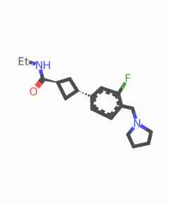 CCNC(=O)[C@H]1C[C@H](c2ccc(CN3CCCC3)c(F)c2)C1